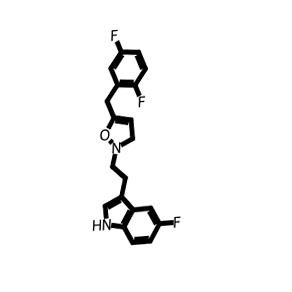 Fc1ccc(F)c(CC2=CCN(CCc3c[nH]c4ccc(F)cc34)O2)c1